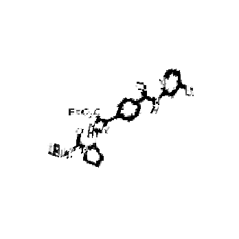 CCOC(=O)c1[nH]c([C@@H]2CCCN2C(=O)OC(C)(C)C)nc1-c1ccc(C(=O)Nc2cc(CC)ccn2)cc1